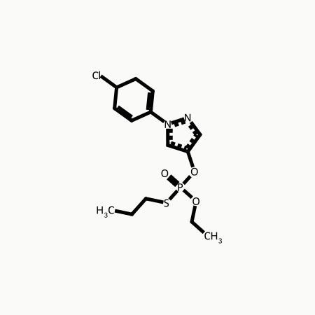 CCCSP(=O)(OCC)Oc1cnn(C2=CCC(Cl)C=C2)c1